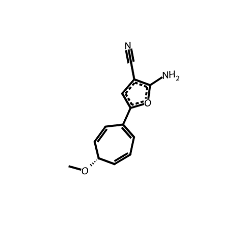 CO[C@H]1C=CC=C(c2cc(C#N)c(N)o2)C=C1